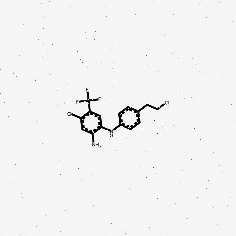 Nc1cc(Cl)c(C(F)(F)F)cc1Nc1ccc(CCCl)cc1